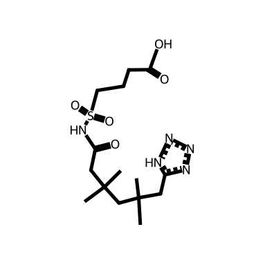 CC(C)(CC(=O)NS(=O)(=O)CCCC(=O)O)CC(C)(C)Cc1nnn[nH]1